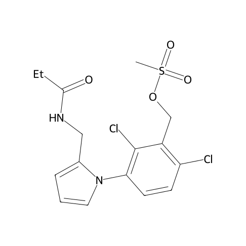 CCC(=O)NCc1cccn1-c1ccc(Cl)c(COS(C)(=O)=O)c1Cl